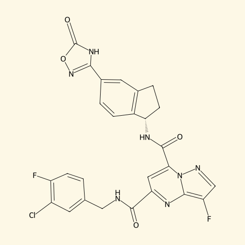 O=C(NCc1ccc(F)c(Cl)c1)c1cc(C(=O)N[C@H]2CCc3cc(-c4noc(=O)[nH]4)ccc32)n2ncc(F)c2n1